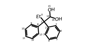 CCC(c1ccccc1)(c1ccccc1)C(O)O